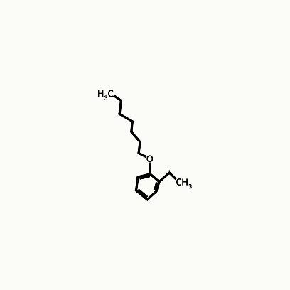 C[CH]c1ccccc1OCCCCCCC